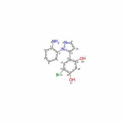 Nc1ccccc1-n1nccc1-c1cc(Br)c(O)cc1O